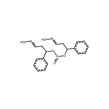 O=[PH](OC(CC=NO)c1ccccc1)OC(CC=NO)c1ccccc1